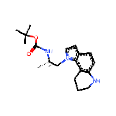 C[C@@H](Cn1ccc2ccc3c(c21)CCCN3)NC(=O)OC(C)(C)C